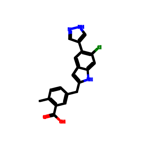 Cc1ccc(Cc2cc3cc(-c4cn[nH]c4)c(Cl)cc3[nH]2)cc1C(=O)O